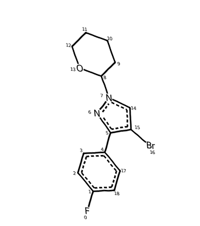 Fc1ccc(-c2nn(C3CCCCO3)cc2Br)cc1